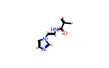 C=C(C)C(=O)NC=Cn1ccnc1